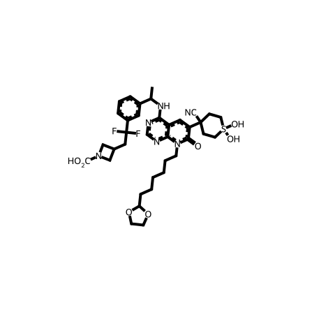 CC(Nc1ncnc2c1cc(C1(C#N)CCS(O)(O)CC1)c(=O)n2CCCCCCC1OCCO1)c1cccc(C(F)(F)CC2CN(C(=O)O)C2)c1